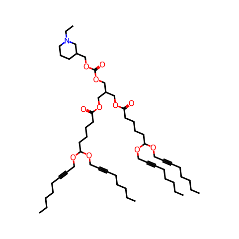 CCCCCC#CCOC(CCCCC(=O)OCC(COC(=O)CCCCC(OCC#CCCCCC)OCC#CCCCCC)COC(=O)OCC1CCCN(CC)C1)OCC#CCCCCC